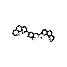 C/C(=C\c1cc(-c2ccc3ccc4cccnc4c3n2)ccc1C)c1ccc2ccc3cccnc3c2n1